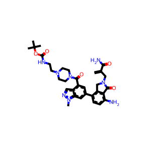 C=C(CN1Cc2c(-c3cc(C(=O)N4CCN(CCNC(=O)OC(C)(C)C)CC4)c4cnn(C)c4c3)ccc(N)c2C1=O)C(N)=O